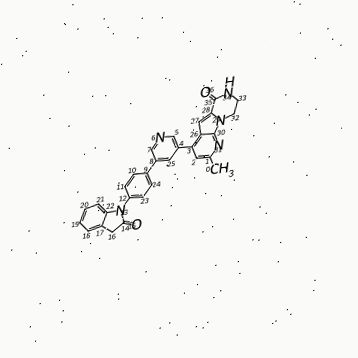 Cc1cc(-c2cncc(-c3ccc(N4C(=O)Cc5ccccc54)cc3)c2)c2cc3n(c2n1)CCNC3=O